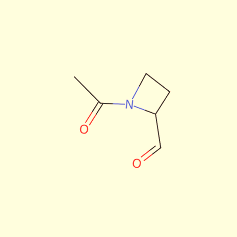 CC(=O)N1CCC1C=O